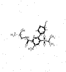 CC(C)S(=O)(=O)c1cc(N)c(C(=O)NC[C@H](C)O)nc1-c1ccc(F)cc1